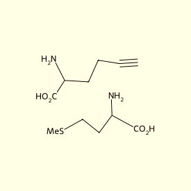 C#CCCC(N)C(=O)O.CSCCC(N)C(=O)O